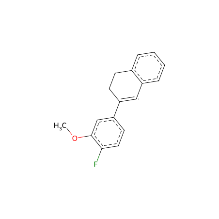 COc1cc(C2=[C]c3ccccc3CC2)ccc1F